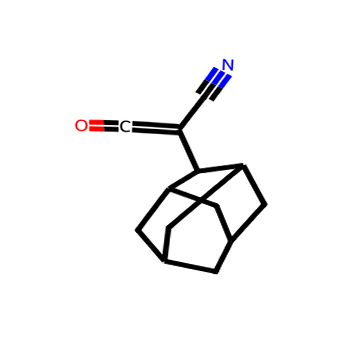 N#CC(=C=O)C1C2CC3CC(C2)CC1C3